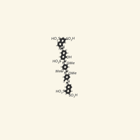 COc1cc(N=Nc2ccc3cc(S(=O)(=O)O)cc(S(=O)(=O)O)c3c2)c(C)cc1N=Nc1cc(OC)c(N=Nc2c(S(=O)(=O)O)cc3cc(-n4nc5ccc6c(S(=O)(=O)O)cc(S(=O)(=O)O)cc6c5n4)ccc3c2O)cc1OC